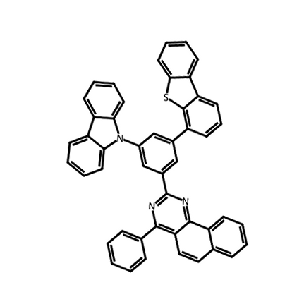 c1ccc(-c2nc(-c3cc(-c4cccc5c4sc4ccccc45)cc(-n4c5ccccc5c5ccccc54)c3)nc3c2ccc2ccccc23)cc1